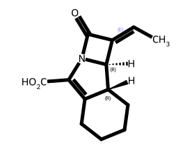 C/C=C1/C(=O)N2C(C(=O)O)=C3CCCC[C@H]3[C@H]12